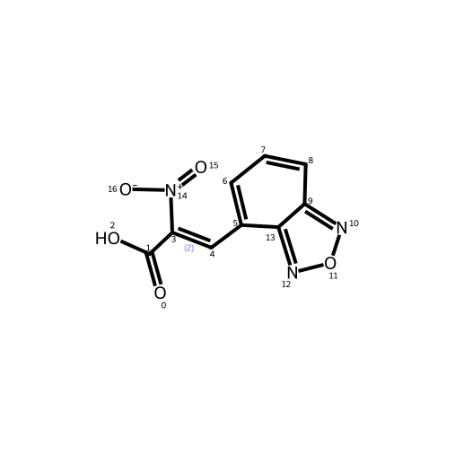 O=C(O)/C(=C/c1cccc2nonc12)[N+](=O)[O-]